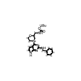 CC(C)(C)OC(=O)NCC1CN(c2nc(NCc3ccccc3)nc3[nH]ccc23)CCO1